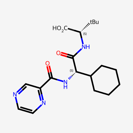 CC(C)(C)[C@H](NC(=O)[C@@H](NC(=O)c1cnccn1)C1CCCCC1)C(=O)O